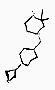 CC1(C)C[C@H](CN2CCN(C3COC3)CC2)CCN1